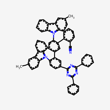 Cc1ccc2c(c1)c1ccccc1n2-c1ccc(-c2nc(-c3ccccc3)nc(-c3ccccc3)n2)cc1-c1ccc(-n2c3ccccc3c3cc(C)ccc32)c(-c2ccccc2C#N)c1